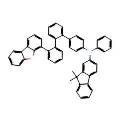 CC1(C)c2ccccc2-c2ccc(N(c3ccccc3)c3ccc(-c4ccccc4-c4ccccc4-c4cccc5c4oc4ccccc45)cc3)cc21